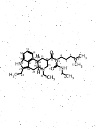 CCNC(=O)N(CCCN(C)C)C(=O)C1C[C@@H]2c3cccc4[nH]c(CC)c(c34)C[C@H]2N(CC)C1